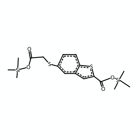 C[Si](C)(C)OC(=O)CSc1ccc2sc(C(=O)O[Si](C)(C)C)cc2c1